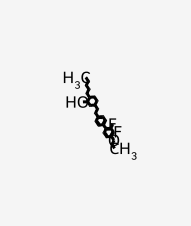 CCCCCC1CCC(CCc2ccc(-c3ccc(OCC)c(F)c3F)cc2)CC1O